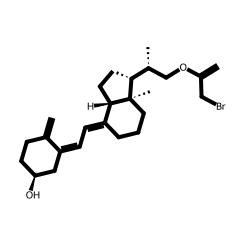 C=C(CBr)OC[C@@H](C)[C@H]1CC[C@H]2/C(=C/C=C3/C[C@@H](O)CCC3=C)CCC[C@]12C